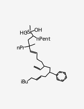 C=CC(CC/C=C/C(C)(CCC)CC(CCCCC)[Si](C)(O)O)CC(C/C=C/CC(C)CC)c1ccccc1